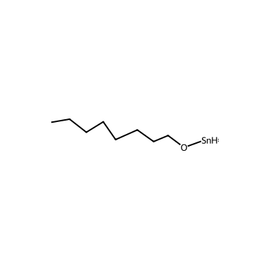 CCCCCCCC[O][SnH]